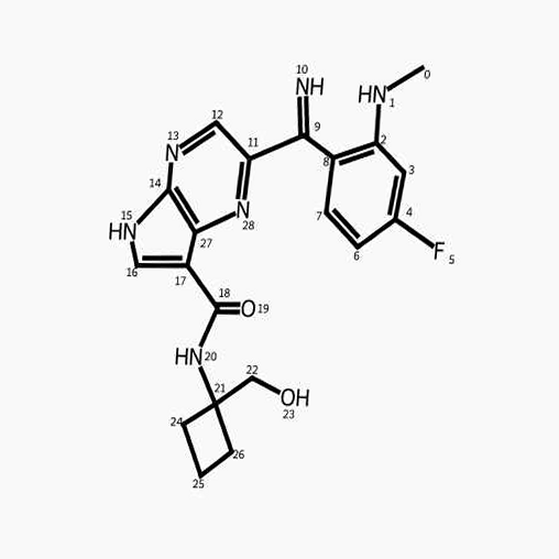 CNc1cc(F)ccc1C(=N)c1cnc2[nH]cc(C(=O)NC3(CO)CCC3)c2n1